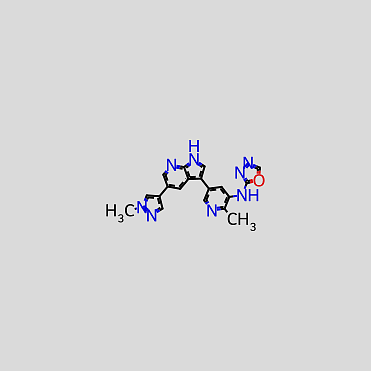 Cc1ncc(-c2c[nH]c3ncc(-c4cnn(C)c4)cc23)cc1Nc1nnco1